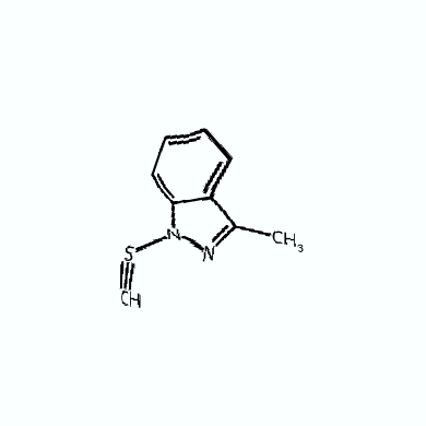 C#Sn1nc(C)c2ccccc21